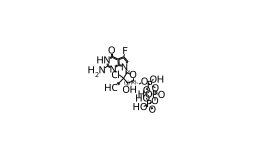 C#CC1(Cl)[C@@H](O)[C@@H](COP(=O)(O)OP(=O)(O)OP(=O)(O)O)O[C@H]1n1cc(F)c2c(=O)[nH]c(N)nc21